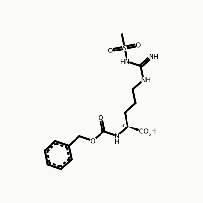 CS(=O)(=O)NC(=N)NCCC[C@H](NC(=O)OCc1ccccc1)C(=O)O